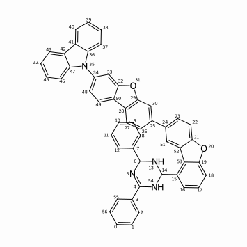 c1ccc(C2=NC(c3ccccc3)NC(c3cccc4oc5ccc(-c6ccc7c(c6)oc6cc(-n8c9ccccc9c9ccccc98)ccc67)cc5c34)N2)cc1